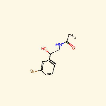 CC(=O)NCC(O)c1cccc(Br)c1